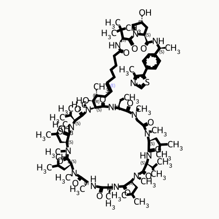 CC[C@@H]1NC(=O)[C@H]([C@H](O)[C@H](C)C/C=C/CCCCC(=O)N[C@H](C(=O)N2C[C@H](O)C[C@H]2C(=O)N[C@@H](C)c2ccc(-c3scnc3C)cc2)C(C)(C)C)N(C)C(=O)[C@H](C(C)C)N(C)C(=O)[C@H](CC(C)C)N(C)C(=O)[C@H](CC(C)C)N(C)C(=O)[C@@H](C)NC(=O)[C@H](C)NC(=O)[C@H](CC(C)C)N(C)C(=O)[C@H](C(C)C)NC(=O)[C@H](CC(C)C)N(C)C(=O)CN(C)C1=O